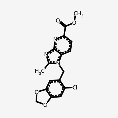 COC(=O)c1ccc2c(n1)nc(C)n2Cc1cc2c(cc1Cl)OCO2